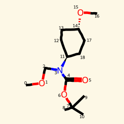 COCN(C(=O)OC(C)(C)C)[C@H]1CC[C@H](OC)CC1